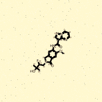 COc1cc2c(cc1NC(=O)c1cnn3cccnc13)CN(CC(F)C(C)(C)O)C2=O